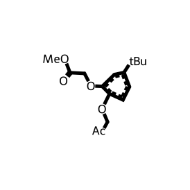 COC(=O)COc1cc(C(C)(C)C)ccc1OCC(C)=O